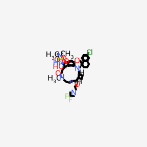 CN1CC/C=C/[C@H](OCCN2CC(F)(F)C2)[C@@H]2CC[C@H]2CN2C[C@@]3(CCCc4cc(Cl)ccc43)COc3ccc(cc32)[C@@](O)(C(=O)NS(=O)(=O)N(C)C)CC1=O